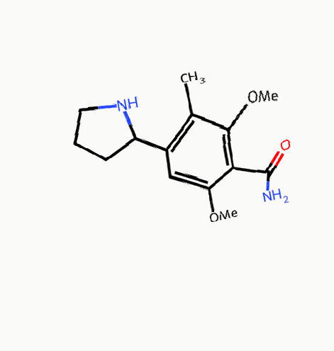 COc1cc(C2CCCN2)c(C)c(OC)c1C(N)=O